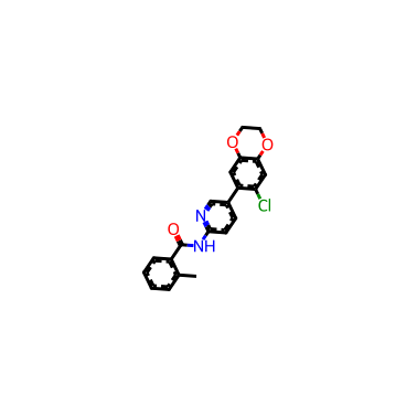 Cc1ccccc1C(=O)Nc1ccc(-c2cc3c(cc2Cl)OCCO3)cn1